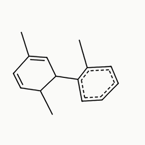 CC1=CC(c2ccccc2C)C(C)C=C1